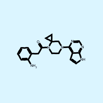 Nc1ccccc1CC(=O)N1CCN(c2ncnc3[nH]ccc23)CC12CC2